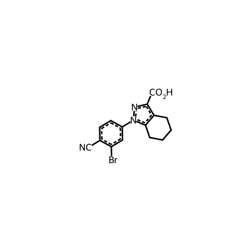 N#Cc1ccc(-n2nc(C(=O)O)c3c2CCCC3)cc1Br